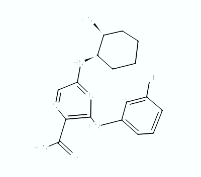 Cc1cccc(Nc2nc(N[C@@H]3CCCC[C@@H]3N)cnc2C(N)=O)c1